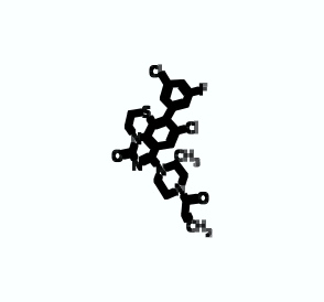 C=CC(=O)N1CCN(c2nc(=O)n3c4c(c(-c5cc(F)cc(Cl)c5)c(Cl)cc24)SCC3)[C@@H](C)C1